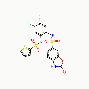 O=S(=O)(Nc1cc(Cl)c(Cl)cc1NS(=O)(=O)c1cccs1)c1ccc2c(c1)OC(O)N2